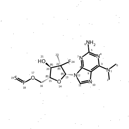 CN(C)c1nc(N)nc2c1ncn2[C@@H]1O[C@H](COP=S)[C@@H](O)[C@@]1(C)F